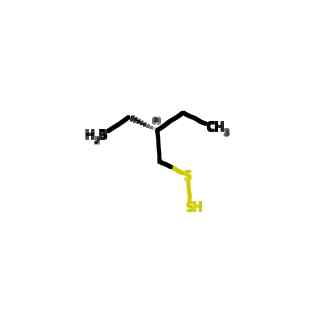 BC[C@H](CC)CSS